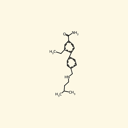 CCc1cc(C(N)=O)ccc1-c1ccc(CNCCC(C)C)cc1